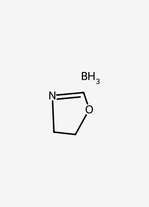 B.C1=NCCO1